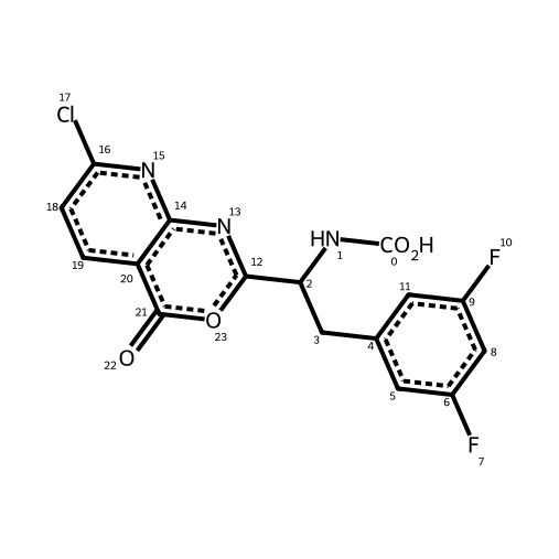 O=C(O)NC(Cc1cc(F)cc(F)c1)c1nc2nc(Cl)ccc2c(=O)o1